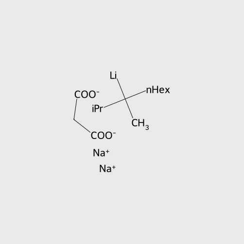 O=C([O-])CC(=O)[O-].[Li][C](C)(CCCCCC)C(C)C.[Na+].[Na+]